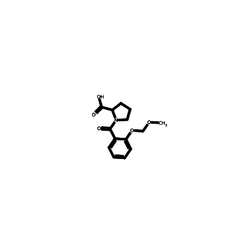 COCOc1ccccc1C(=O)N1CCCC1C(=O)O